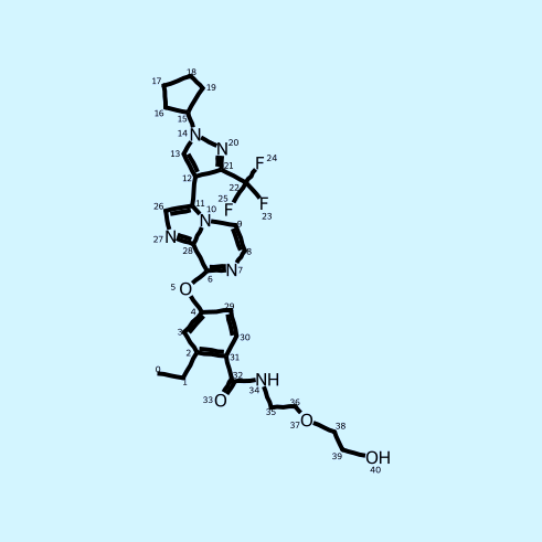 CCc1cc(Oc2nccn3c(-c4cn(C5CCCC5)nc4C(F)(F)F)cnc23)ccc1C(=O)NCCOCCO